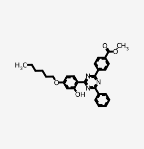 CCCCCCOc1ccc(-c2nc(-c3ccccc3)nc(-c3ccc(C(=O)OC)cc3)n2)c(O)c1